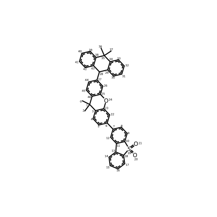 CC1(C)c2ccc(-c3ccc4c(c3)-c3ccccc3S4(=O)=O)cc2Oc2cc(C3c4ccccc4C(C)(C)c4ccccc43)ccc21